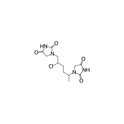 CC(CCC(Cl)CN1CC(=O)NC1=O)N1CC(=O)NC1=O